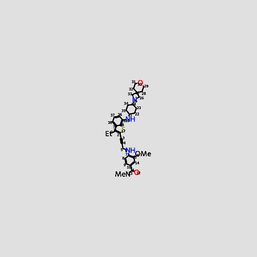 CCc1c(C#CCNc2ccc(C(=O)NC)cc2OC)sc2c(NC3CCC(N4CC5(CCOCC5)C4)CC3)cccc12